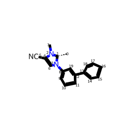 C[C@H]1N(C)C(C#N)=CN1c1cccc(-c2ccccc2)c1